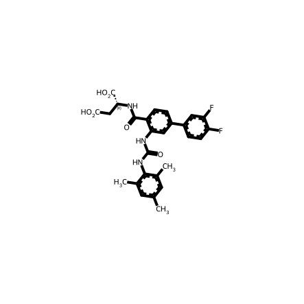 Cc1cc(C)c(NC(=O)Nc2cc(-c3ccc(F)c(F)c3)ccc2C(=O)N[C@H](CC(=O)O)C(=O)O)c(C)c1